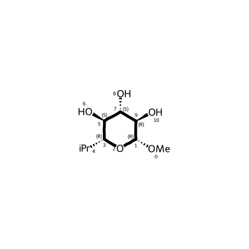 CO[C@@H]1O[C@H](C(C)C)[C@@H](O)[C@H](O)[C@H]1O